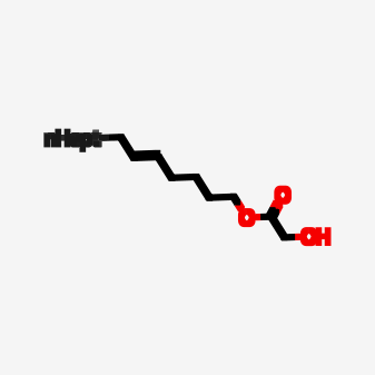 CCCCCCCCC=CCCCCOC(=O)CO